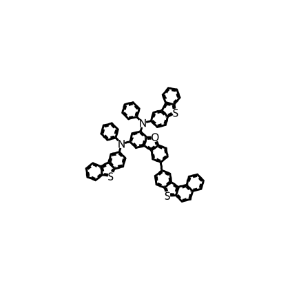 c1ccc(N(c2ccc3sc4ccccc4c3c2)c2cc(N(c3ccccc3)c3ccc4sc5ccccc5c4c3)c3oc4ccc(-c5ccc6sc7ccc8ccccc8c7c6c5)cc4c3c2)cc1